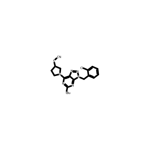 CC(C)(C)c1nc(N2CCC(SC#N)C2)c2nnn(Cc3ccccc3Cl)c2n1